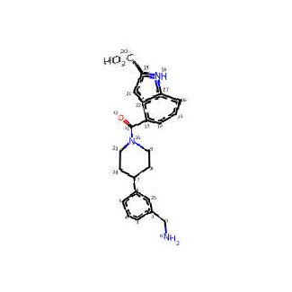 NCc1cccc(C2CCN(C(=O)c3cccc4[nH]c(C(=O)O)cc34)CC2)c1